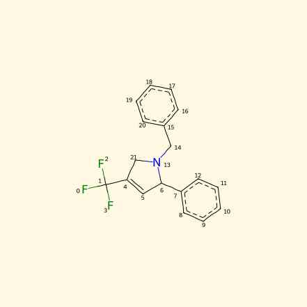 FC(F)(F)C1=CC(c2ccccc2)N(Cc2ccccc2)C1